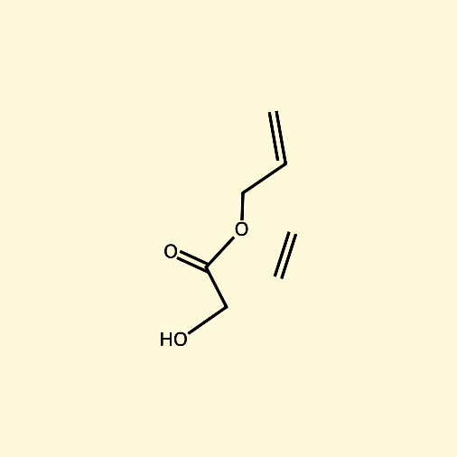 C=C.C=CCOC(=O)CO